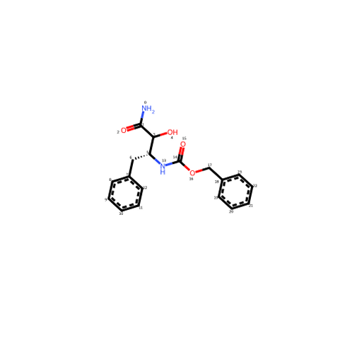 NC(=O)C(O)[C@@H](Cc1ccccc1)NC(=O)OCc1ccccc1